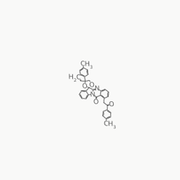 C=CC1(c2ccc(C)cc2)COC2(O1)c1ccccc1-n1c2nc2cccc(CC(=O)c3ccc(C)cc3)c2c1=O